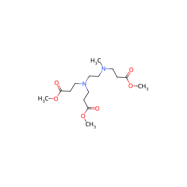 COC(=O)CCN(C)CCN(CCC(=O)OC)CCC(=O)OC